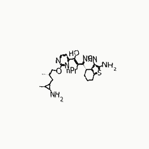 CCC/C(C(=N)[C@H]1CCCc2sc(N)c(C#N)c21)=C(/O)c1ccnc(OC[C@@H](C)CC2C(N)[C@H]2C)n1